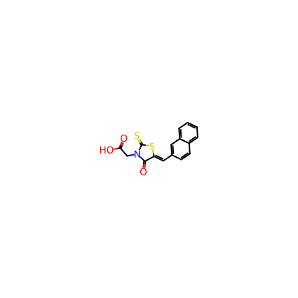 O=C(O)CN1C(=O)C(=Cc2ccc3ccccc3c2)SC1=S